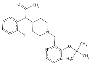 CC(=O)C(c1ccccc1F)C1CCN(Cc2nccnc2OC(C)(C)C)CC1